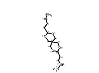 NNCCC1OCC2(CO1)COC(CCNN)OC2